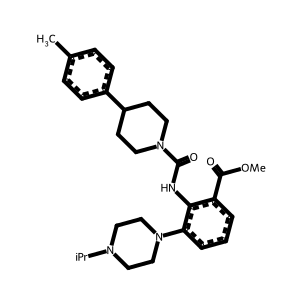 COC(=O)c1cccc(N2CCN(C(C)C)CC2)c1NC(=O)N1CCC(c2ccc(C)cc2)CC1